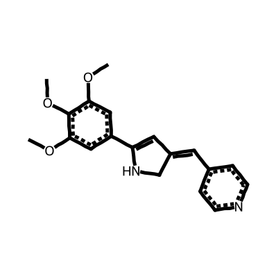 COc1cc(C2=C/C(=C/c3ccncc3)CN2)cc(OC)c1OC